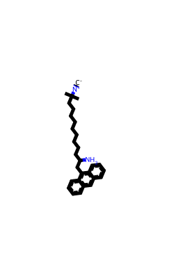 [C-]#[N+]C(C)(C)CCCCCCCCCC(N)Cc1c2ccccc2cc2ccccc12